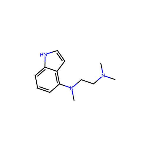 CN(C)CCN(C)c1c[c]cc2[nH]ccc12